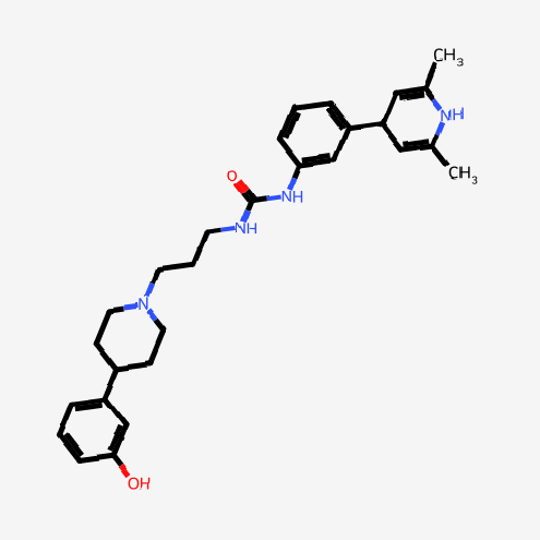 CC1=CC(c2cccc(NC(=O)NCCCN3CCC(c4cccc(O)c4)CC3)c2)C=C(C)N1